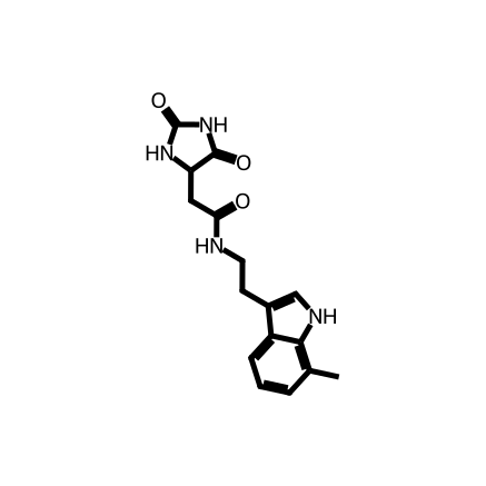 Cc1cccc2c(CCNC(=O)CC3NC(=O)NC3=O)c[nH]c12